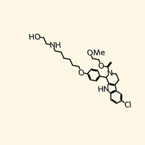 C=C(OCCOC)N1CCc2c([nH]c3ccc(Cl)cc23)C1c1ccc(OCCCCCCNCCO)cc1